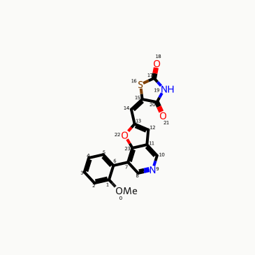 COc1ccccc1-c1cncc2cc(C=C3SC(=O)NC3=O)oc12